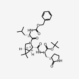 CC(C)C[C@H](NC(=O)OCc1ccccc1)C(=O)N1C[C@H]2[C@@H]([C@H]1C(=O)NN(C[C@@H]1CCNC1=O)C(=O)OC(C)(C)C)C2(C)C